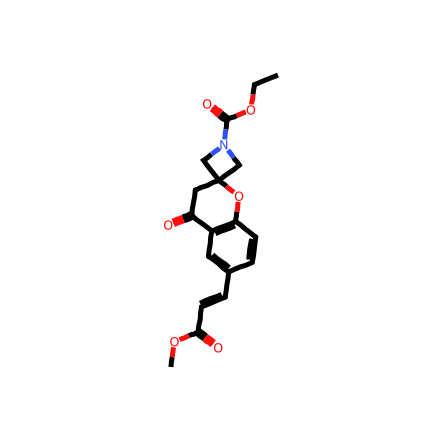 CCOC(=O)N1CC2(CC(=O)c3cc(C=CC(=O)OC)ccc3O2)C1